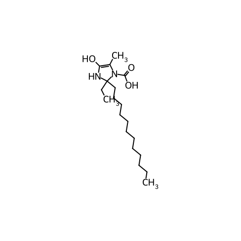 CCCCCCCCCCCCC1(CC)NC(O)=C(C)N1C(=O)O